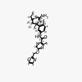 Cc1nc(OCc2ncco2)cnc1C(=O)Nc1ccc(F)c([C@@]2(C)N=C(N)S[C@](C)(CF)[C@H]2C)c1